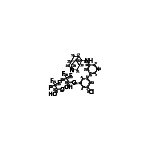 Clc1cccc(-c2cncc(NC3C4CC5CC3CN(C5)C4)c2)c1.O=C(O)C(F)(F)F.O=C(O)C(F)(F)F